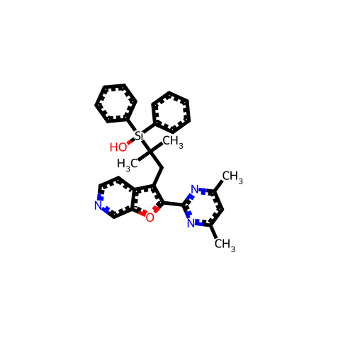 Cc1cc(C)nc(-c2oc3cnccc3c2CC(C)(C)[Si](O)(c2ccccc2)c2ccccc2)n1